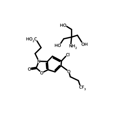 NC(CO)(CO)CO.O=C(O)CCn1c(=O)oc2cc(OCCC(F)(F)F)c(Cl)cc21